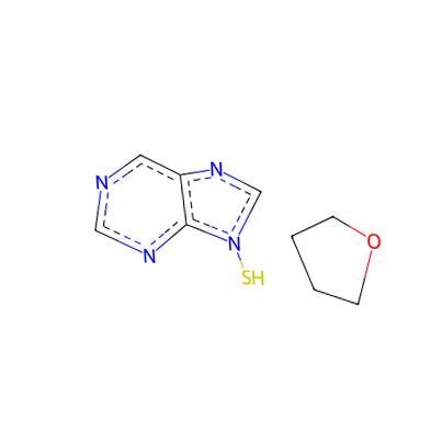 C1CCOC1.Sn1cnc2cncnc21